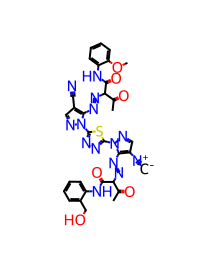 [C-]#[N+]c1cnn(-c2nnc(-n3ncc(C#N)c3N=NC(C(C)=O)C(=O)Nc3ccccc3OC)s2)c1N=NC(C(C)=O)C(=O)Nc1ccccc1CO